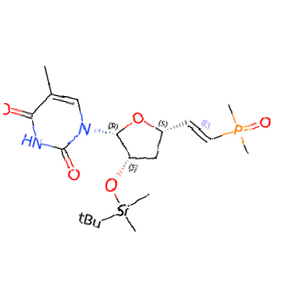 Cc1cn([C@@H]2O[C@H](/C=C/P(C)(C)=O)C[C@@H]2O[Si](C)(C)C(C)(C)C)c(=O)[nH]c1=O